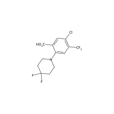 O=C(O)c1cc(Cl)c(C(F)(F)F)cc1N1CCC(F)(F)CC1